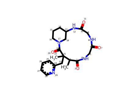 CC1C(=O)NCC(=O)NCC(=O)NC2CCCN(C2)C(=O)C1(C)Cc1ccccn1